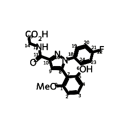 COc1cccc(O)c1-c1cc(C(=O)NCC(=O)O)nn1C1=C=C=C(F)C=C1